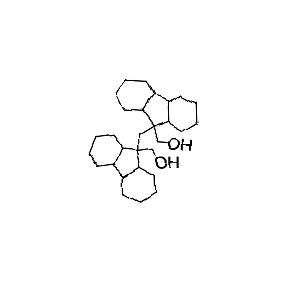 OCC1(CC2(CO)C3CCCCC3C3CCCCC32)C2CCCCC2C2CCCCC21